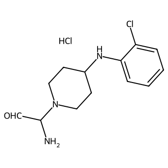 Cl.NC(C=O)N1CCC(Nc2ccccc2Cl)CC1